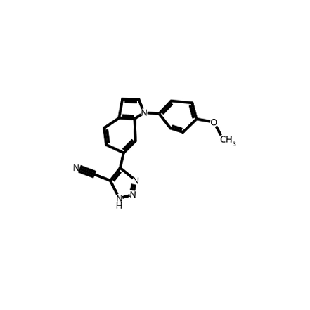 COc1ccc(-n2ccc3ccc(-c4nn[nH]c4C#N)cc32)cc1